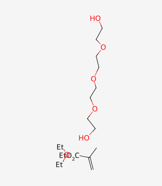 C=C(C)C(=O)OCC.CCOCC.OCCOCCOCCOCCO